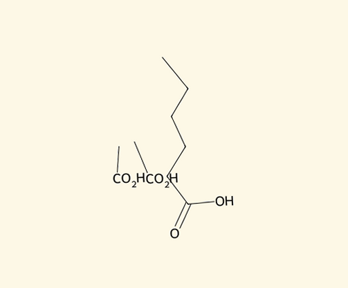 CC(=O)O.CC(=O)O.CCCCCC(=O)O